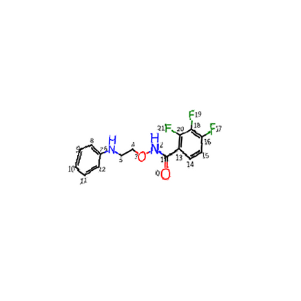 O=C(NOCCNc1ccccc1)c1ccc(F)c(F)c1F